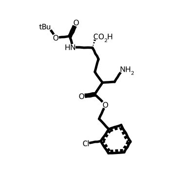 CC(C)(C)OC(=O)N[C@@H](CCC(CN)C(=O)OCc1ccccc1Cl)C(=O)O